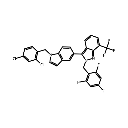 Fc1cc(F)c(Cn2nc3c(C(F)(F)F)cccc3c2-c2ccc3c(ccn3Cc3ccc(Cl)cc3Cl)c2)c(F)c1